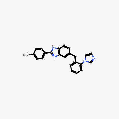 O=C(O)c1ccc(-c2nc3cc(Cc4ccccc4-n4ccnc4)ccc3[nH]2)cc1